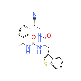 CC(NC(=O)NC(Cc1csc2ccccc12)C(=O)NCCC#N)c1ccccc1